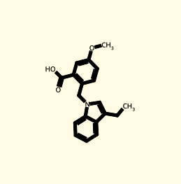 CCc1cn(Cc2ccc(OC)cc2C(=O)O)c2ccccc12